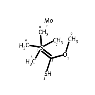 COC(S)=S(C)(C)(C)C.[Mo]